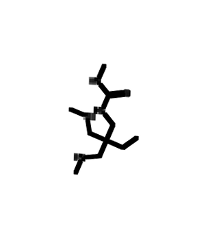 CCC(CNC)(CNC)CNC(=O)NC